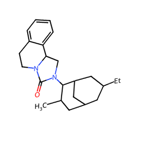 CCC1CC2CC(C)C(N3CC4c5ccccc5CCN4C3=O)C(C1)C2